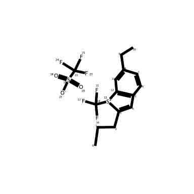 CCCc1cc2ccc(CC)cc2[s+]1C(F)(F)F.O=S(=O)([O-])C(F)(F)F